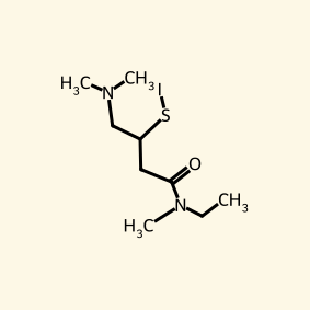 CCN(C)C(=O)CC(CN(C)C)SI